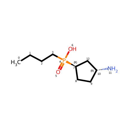 CCCCP(=O)(O)[C@@H]1CC[C@@H](N)C1